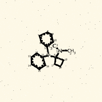 CN(C)C1(P(c2ccccc2)c2ccccc2)CCC1